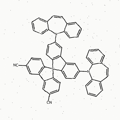 N#Cc1ccc2c(c1)-c1cc(C#N)ccc1[Si]21c2ccc(N3c4ccccc4C=Cc4ccccc43)cc2-c2cc(N3c4ccccc4C=Cc4ccccc43)ccc21